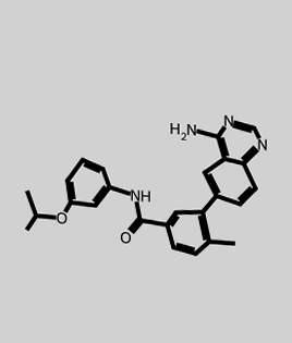 Cc1ccc(C(=O)Nc2cccc(OC(C)C)c2)cc1-c1ccc2ncnc(N)c2c1